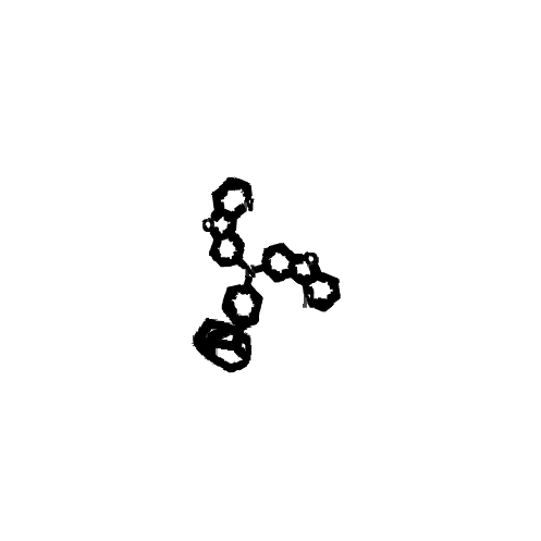 c1cnc2c(c1)oc1ccc(N(c3ccc(C4C5CC6CC(C5)C4C6)cc3)c3ccc4oc5cccnc5c4c3)cc12